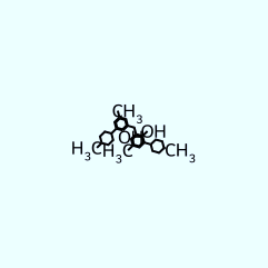 Cc1cc(Cc2cc(C)cc(C3CCC(C)CC3)c2O)c(O)c(C2CCC(C)CC2)c1